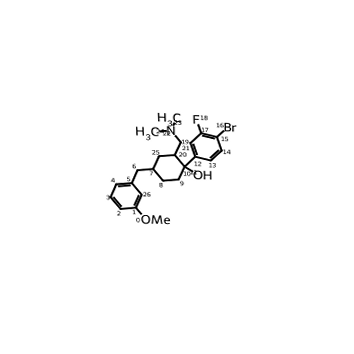 COc1cccc(CC2CCC(O)(c3ccc(Br)c(F)c3)C(CN(C)C)C2)c1